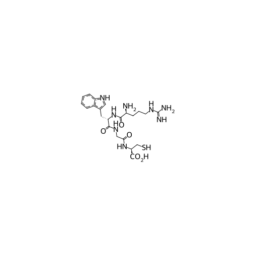 N=C(N)NCCC[C@H](N)C(=O)N[C@@H](Cc1c[nH]c2ccccc12)C(=O)NCC(=O)N[C@@H](CS)C(=O)O